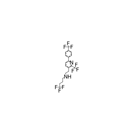 FC(F)(F)CCCNCCc1ccc(-c2ccc(C(F)(F)F)cc2)nc1C(F)(F)F